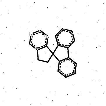 c1ccc2c(c1)-c1ccccc1C21CCc2cncnc21